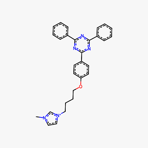 Cn1cc[n+](CCCCOc2ccc(-c3nc(-c4ccccc4)nc(-c4ccccc4)n3)cc2)c1